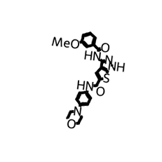 COc1cccc(C(=O)Nc2n[nH]c3sc(C(=O)Nc4ccc(N5CCOCC5)cc4)cc23)c1